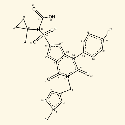 Cn1cc(Cn2c(=O)c3cc(S(=O)(=O)N(C(=O)O)C4(C)CC4)sc3n(-c3ccc(F)cc3)c2=O)cn1